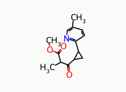 COC(=O)C(C)C(=O)C1CC1c1ccc(C)cn1